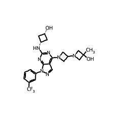 CC1(O)CN(C2CN(c3nc(N[C@H]4C[C@@H](O)C4)nc4c3cnn4-c3cccc(C(F)(F)F)c3)C2)C1